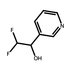 OC(c1cccnc1)C(F)F